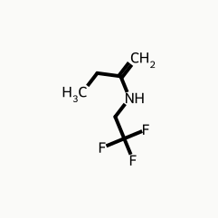 C=C(CC)NCC(F)(F)F